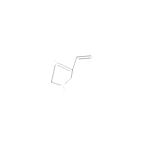 O=CC1=NCNC1